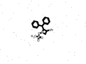 CCCC1CN(OS(C)(=O)=O)C1C(c1ccccc1)c1ccccc1